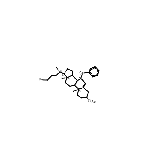 CC(=O)OC1CC[C@@]2(C)C(=C[C@H]([Se]c3ccccc3)C3C2CC[C@@]2(C)C3CC[C@@H]2[C@H](C)CCCC(C)C)C1